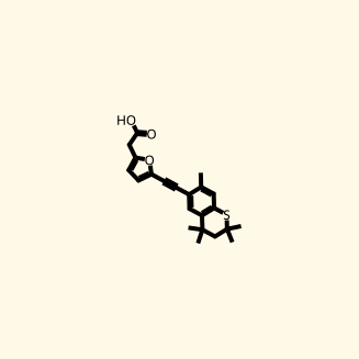 Cc1cc2c(cc1C#Cc1ccc(CC(=O)O)o1)C(C)(C)CC(C)(C)S2